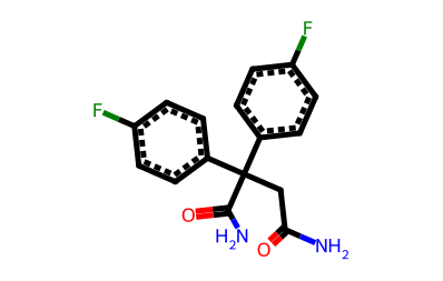 NC(=O)CC(C(N)=O)(c1ccc(F)cc1)c1ccc(F)cc1